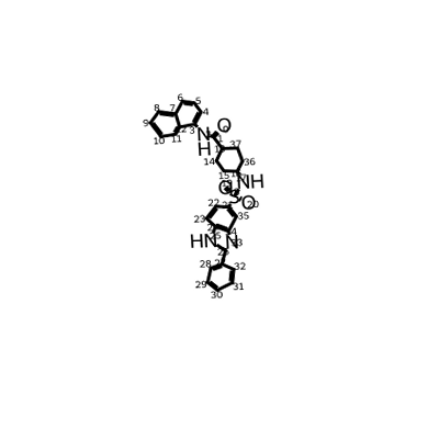 O=C(Nc1cccc2ccccc12)C1CCC(NS(=O)(=O)c2ccc3[nH]c(-c4ccccc4)nc3c2)CC1